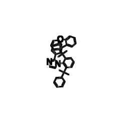 CC(C)(c1ccccc1)c1cccc(C(C)(C)c2ccccc2)c1-n1ccnc1-c1ccc2oc3ccccc3c2c1